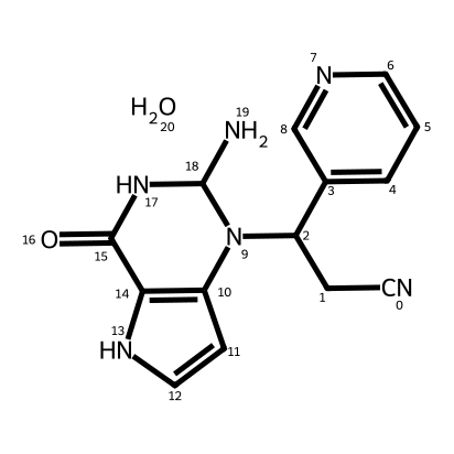 N#CCC(c1cccnc1)N1c2cc[nH]c2C(=O)NC1N.O